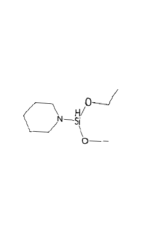 CCO[SiH](OC)N1CCCCC1